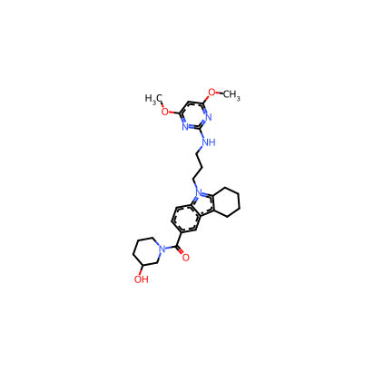 COc1cc(OC)nc(NCCCn2c3c(c4cc(C(=O)N5CCCC(O)C5)ccc42)CCCC3)n1